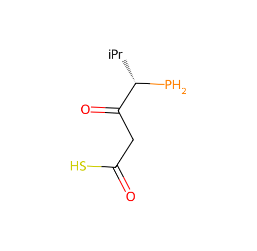 CC(C)[C@H](P)C(=O)CC(=O)S